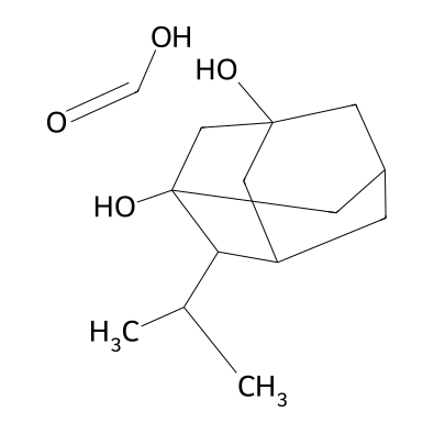 CC(C)C1C2CC3CC(O)(C2)CC1(O)C3.O=CO